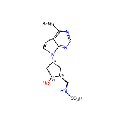 CC(=O)Nc1ncnc2c1ccn2[C@@H]1C[C@@H](CNS(=O)(=O)O)[C@@H](O)C1